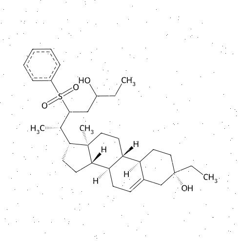 CCC(O)CC([C@@H](C)[C@H]1CC[C@H]2[C@@H]3CC=C4C[C@](O)(CC)CC[C@@H]4[C@H]3CC[C@]12C)S(=O)(=O)c1ccccc1